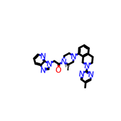 Cc1cnc(N2CCc3cccc(N4CCN(C(=O)Cn5cnc6cccnc65)[C@H](C)C4)c3C2)nc1